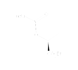 CCCCC(=O)O[C@@H](C)C(=O)OCC